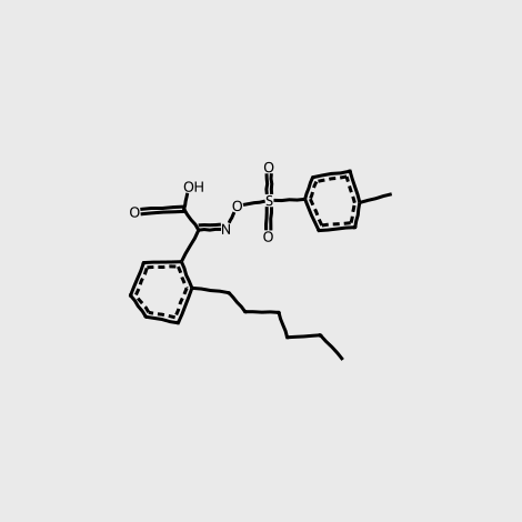 CCCCCCc1ccccc1C(=NOS(=O)(=O)c1ccc(C)cc1)C(=O)O